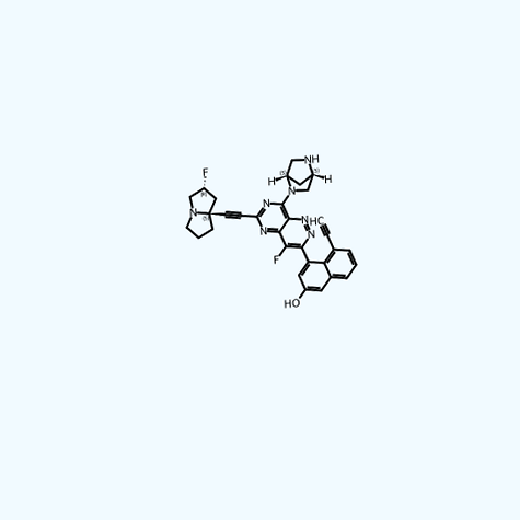 C#Cc1cccc2cc(O)cc(-c3nnc4c(N5C[C@@H]6C[C@H]5CN6)nc(C#C[C@@]56CCCN5C[C@H](F)C6)nc4c3F)c12